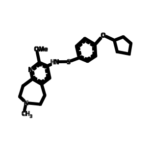 COc1nc2c(cc1NSc1ccc(OC3CCCC3)cc1)CCN(C)CC2